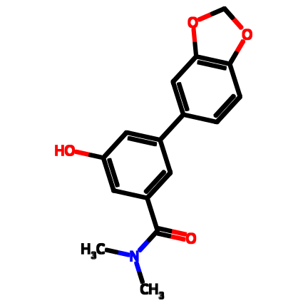 CN(C)C(=O)c1cc(O)cc(-c2ccc3c(c2)OCO3)c1